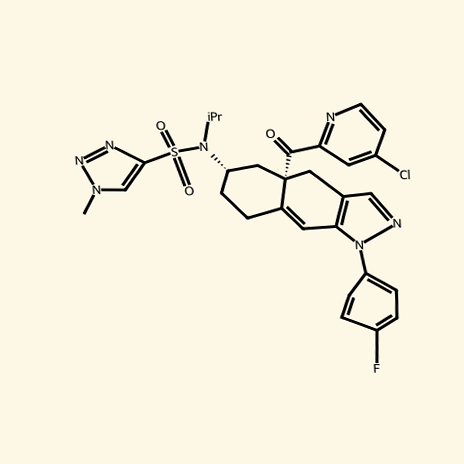 CC(C)N([C@H]1CCC2=Cc3c(cnn3-c3ccc(F)cc3)C[C@]2(C(=O)c2cc(Cl)ccn2)C1)S(=O)(=O)c1cn(C)nn1